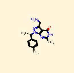 Cc1nc2c(c(CN)nn2[C@@H](C)c2ccc(C(F)(F)F)cc2)c(=O)[nH]1